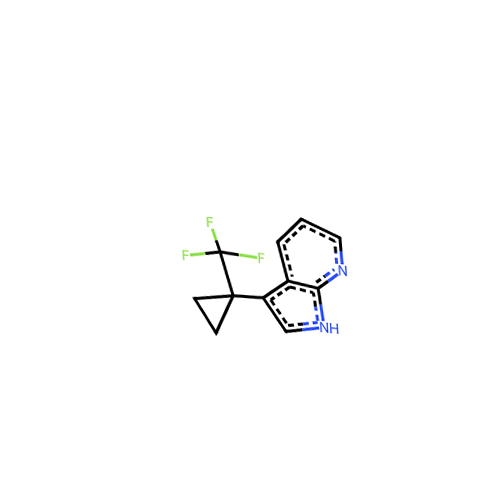 FC(F)(F)C1(c2c[nH]c3ncccc23)CC1